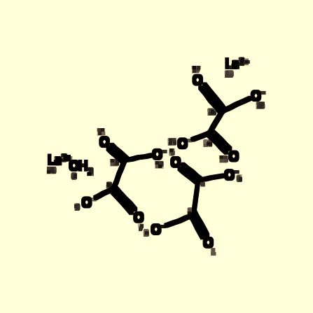 O.O=C([O-])C(=O)[O-].O=C([O-])C(=O)[O-].O=C([O-])C(=O)[O-].[La+3].[La+3]